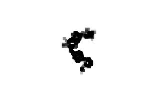 C[C@@H](NC(=O)Cc1ccc(N2CCC[C@@H]2CF)cc1)c1ccc(OCC(F)(F)F)cn1